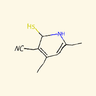 CC1=CC(C)=C(C#N)C(S)N1